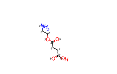 NCCOC(=O)CCC(=O)O